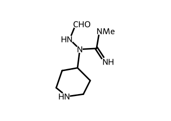 CNC(=N)N(NC=O)C1CCNCC1